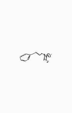 [O-][NH2+]CC=Cc1ccccc1